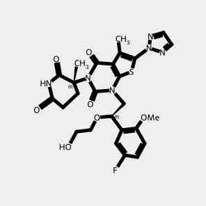 COc1ccc(F)cc1[C@H](Cn1c(=O)n([C@]2(C)CCC(=O)NC2=O)c(=O)c2c(C)c(-n3nccn3)sc21)OCCO